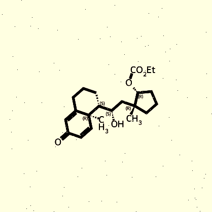 CCOC(=O)O[C@@H]1CCC[C@]1(C)C[C@H](O)[C@H]1CCCC2=CC(=O)C=C[C@@]21C